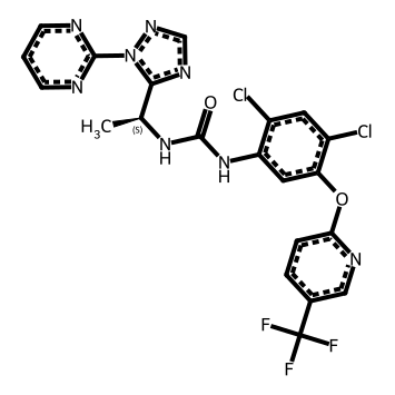 C[C@H](NC(=O)Nc1cc(Oc2ccc(C(F)(F)F)cn2)c(Cl)cc1Cl)c1ncnn1-c1ncccn1